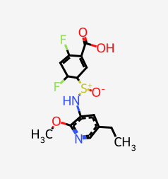 CCc1cnc(OC)c(N[S+]([O-])C2C=C(C(=O)O)C(F)=CC2F)c1